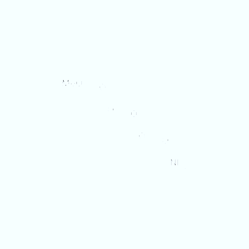 COOOOOON